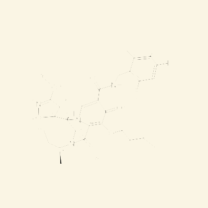 CCCCOc1c2n(cc(C(=O)NCc3c(F)cc(F)cc3F)c1=O)[C@@H]1CN(C2=O)[C@@H](C)CC[C@@]12ON=C(OC)[C@@H]2C